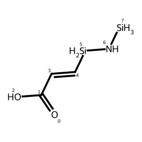 O=C(O)C=C[SiH2]N[SiH3]